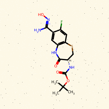 CC(C)(C)OC(=O)N[C@H]1CSc2cc(F)c(/C(N)=N/O)cc2NC1=O